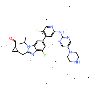 CC(C)n1c(CC2CC2C=O)nc2c(F)cc(-c3cc(Nc4ncc(N5CCNCC5)cn4)ncc3F)cc21